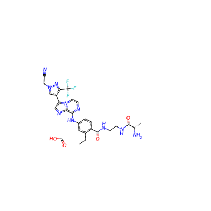 CCc1cc(Nc2nccn3c(-c4cn(CC#N)nc4C(F)(F)F)cnc23)ccc1C(=O)NCCNC(=O)[C@H](C)N.O=CO